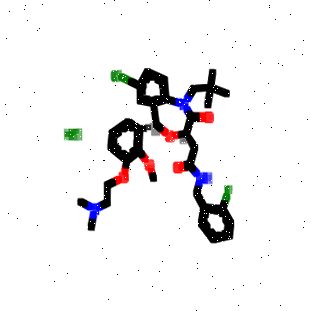 COc1c(OCCN(C)C)cccc1[C@H]1O[C@H](CC(=O)NCc2ccccc2F)C(=O)N(CC(C)(C)C)c2ccc(Cl)cc21.Cl